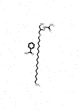 CCCCCCCCCCCCCCCCCCOCC(CS)ONC(C)=O.O=C(O)c1ccccc1